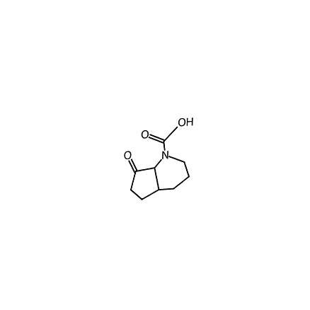 O=C1CCC2CCCN(C(=O)O)C12